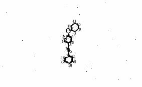 C(#Cc1ccc(OC2CCCCC2)nc1)c1ccccc1